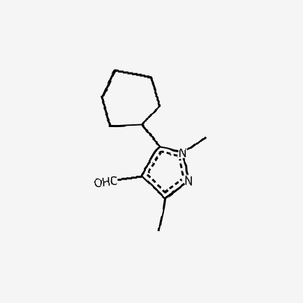 Cc1nn(C)c(C2CCCCC2)c1C=O